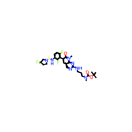 CN(CCCNc1ncc2cc(-c3c(F)ccc(NSN4CC[C@@H](F)C4)c3F)c(=O)n(C)c2n1)C(=O)OC(C)(C)C